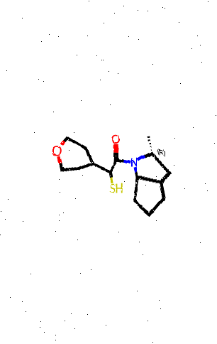 C[C@@H]1CC2CCCC2N1C(=O)C(S)C1CCOCC1